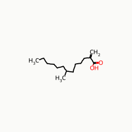 C=C(CCCCC(C)CCCCCC)C(=O)O